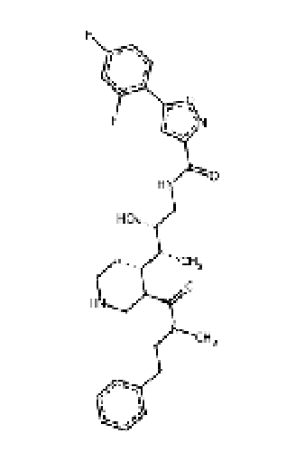 C[C@H]([C@H]1CCNC[C@@H]1C(=O)N(C)CCc1ccccc1)[C@H](O)CNC(=O)c1cc(-c2ccc(F)cc2F)on1